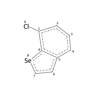 Clc1cccc2cc[se]c12